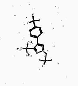 CC(C)(C)c1nn(CC(F)(F)F)cc1-c1ccc(C(F)(F)F)cc1